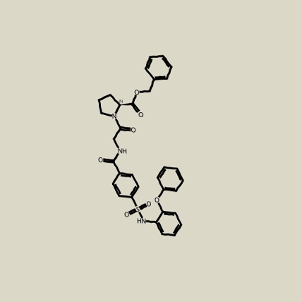 O=C(NCC(=O)N1CCC[C@H]1C(=O)OCc1ccccc1)c1ccc(S(=O)(=O)Nc2ccccc2Oc2ccccc2)cc1